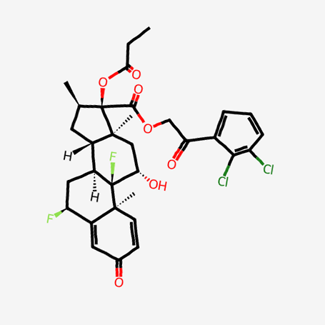 CCC(=O)O[C@]1(C(=O)OCC(=O)c2cccc(Cl)c2Cl)[C@H](C)C[C@H]2[C@@H]3C[C@H](F)C4=CC(=O)C=C[C@]4(C)[C@@]3(F)[C@@H](O)C[C@@]21C